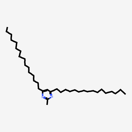 CCCCCCCCCCCCCCCCc1cc(CCCCCCCCCCCCCCCC)nc(C)n1